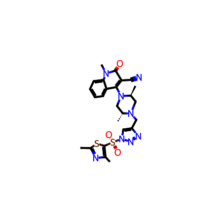 Cc1nc(C)c(S(=O)(=O)n2cc(CN3C[C@H](C)N(c4c(C#N)c(=O)n(C)c5ccccc45)C[C@H]3C)nn2)s1